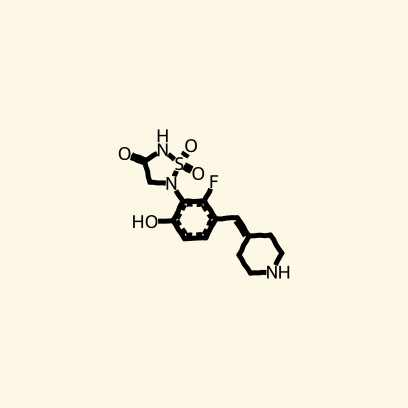 O=C1CN(c2c(O)ccc(C=C3CCNCC3)c2F)S(=O)(=O)N1